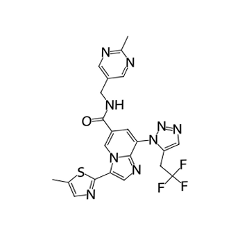 Cc1ncc(CNC(=O)c2cc(-n3nncc3CC(F)(F)F)c3ncc(-c4ncc(C)s4)n3c2)cn1